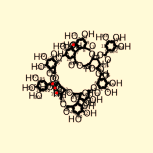 O=C(O[C@H]1[C@@H]2OC(=O)c3cc(O)c(O)c(O)c3-c3c4cc(c(O)c3O)Oc3c(cc(O)c(O)c3O)C(=O)O[C@H]3C(O)O[C@@H]5COC(=O)c6cc(O)c(O)c(O)c6-c6c(cc(c(O)c6O)Oc6c(cc(O)c(O)c6O)C(=O)O[C@H]1C(O)O[C@@H]2COC4=O)C(=O)O[C@H]5[C@@H]3OC(=O)c1cc(O)c(O)c(O)c1)c1cc(O)c(O)c(O)c1